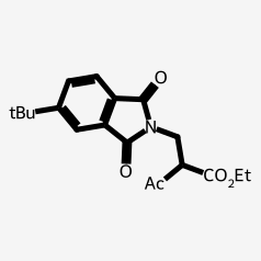 CCOC(=O)C(CN1C(=O)c2ccc(C(C)(C)C)cc2C1=O)C(C)=O